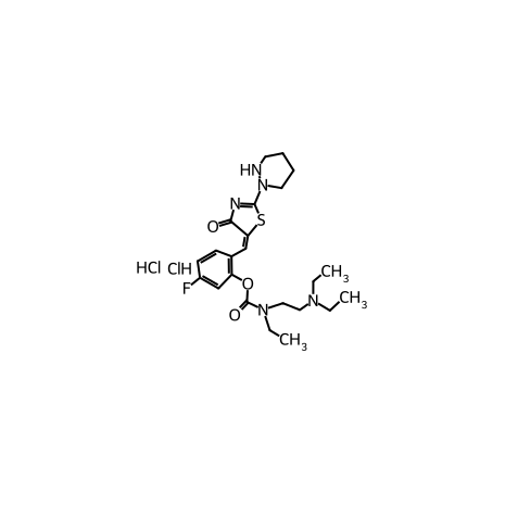 CCN(CC)CCN(CC)C(=O)Oc1cc(F)ccc1C=C1SC(N2CCCCN2)=NC1=O.Cl.Cl